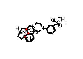 CS(=O)(=O)c1cccc(N2CCN(CC3C[C@H]4CC[C@@H](C3)N4CC(F)(F)F)C(c3ccccc3)C2)c1